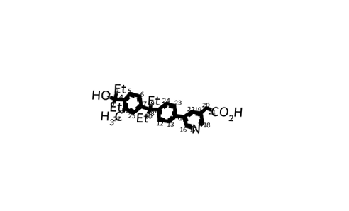 CCC(O)(CC)c1ccc(C(CC)(CC)c2ccc(-c3cncc(CC(=O)O)c3)cc2)cc1C